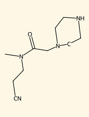 CN(CCC#N)C(=O)CN1CCNCC1